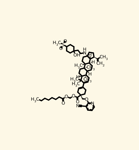 C=C(C)[C@@H]1CC[C@]2(NCCC3(O)CCC(S(C)(=O)=O)CC3)CC[C@]3(C)[C@H](CC[C@@H]4[C@@]5(C)CC=C(C6=CC[C@@](COc7ncccc7C#N)(C(=O)OCOC(=O)CCCCCCC)CC6)C(C)(C)[C@@H]5CC[C@]43C)[C@@H]12